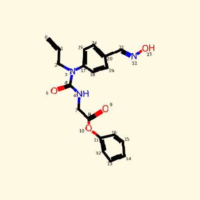 C=CCN(C(=O)NCC(=O)Oc1ccccc1)c1ccc(C=NO)cc1